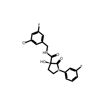 O=C(NCc1cc(F)cc(Cl)c1)[C@@]1(O)CCN(c2cccc(F)c2)C1=O